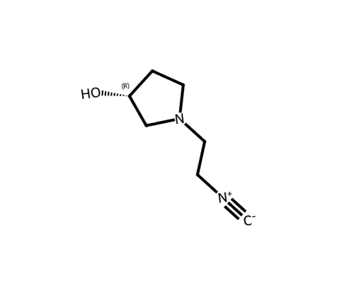 [C-]#[N+]CCN1CC[C@@H](O)C1